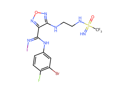 N=S(=O)(NCCNc1nonc1/C(=N/I)Nc1ccc(F)c(Br)c1)C(F)(F)F